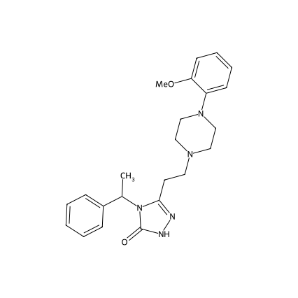 COc1ccccc1N1CCN(CCc2n[nH]c(=O)n2C(C)c2ccccc2)CC1